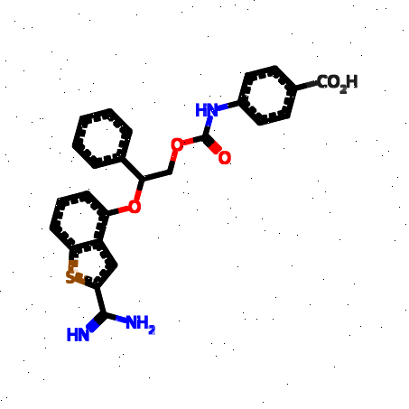 N=C(N)c1cc2c(OC(COC(=O)Nc3ccc(C(=O)O)cc3)c3ccccc3)cccc2s1